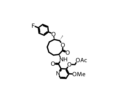 COc1ccnc(C(=O)N[C@H]2CCCC[C@@H](Oc3ccc(F)cc3)[C@H](C)OC2=O)c1OCOC(C)=O